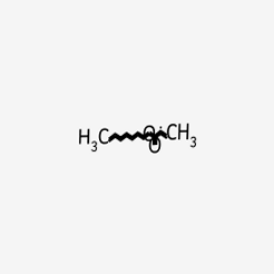 CC[CH]C(=O)OCCCCCCCC